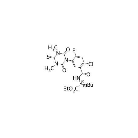 CCOC(=O)[C@H](NC(=O)c1cc(-n2c(=O)n(C)c(=S)n(C)c2=O)c(F)cc1Cl)[C@H](C)CC